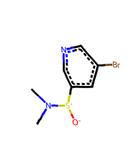 CN(C)[S+]([O-])c1cncc(Br)c1